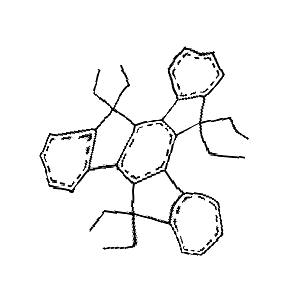 CCC1(CC)c2ccccc2-c2c1c1c(c3c2C(CC)(CC)c2ccccc2-3)C(CC)(CC)c2ccccc2-1